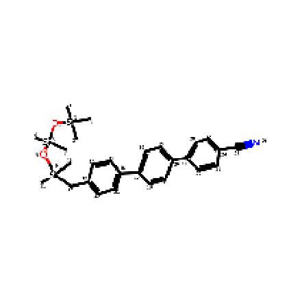 C[Si](C)(C)O[Si](C)(C)O[Si](C)(C)Cc1ccc(-c2ccc(-c3ccc(C#N)cc3)cc2)cc1